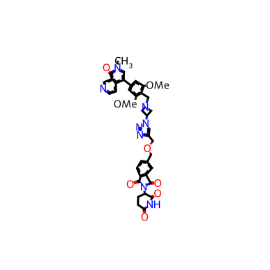 COc1cc(-c2cn(C)c(=O)c3cnccc23)cc(OC)c1CN1CC(n2cc(COCc3ccc4c(c3)C(=O)N(C3CCC(=O)NC3=O)C4=O)nn2)C1